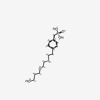 O=P(O)(O)Cc1ccc(CCSCCOCCCO)cc1